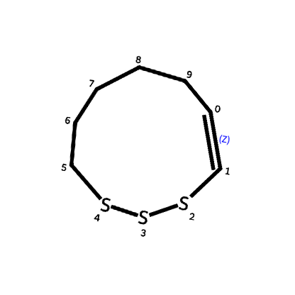 C1=C\SSSCCCCC/1